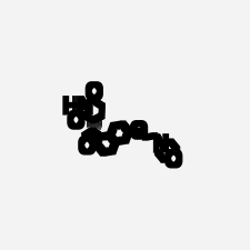 O=C1CC[C@H](c2coc3ccc4cc(OCCN5CCOCC5)ccc4c23)C(=O)N1